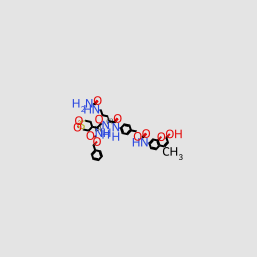 CC1=CC(O)Oc2cc(NC(=O)OCc3ccc(NC(=O)[C@H](CCCNC(N)=O)NC(=O)[C@@H](NC(=O)OCc4ccccc4)C4CCS(=O)(=O)CC4)cc3)ccc21